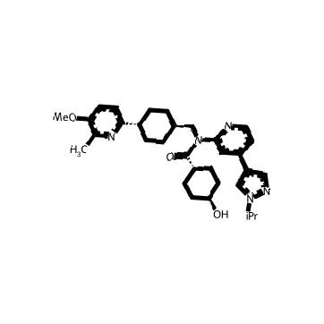 COc1ccc([C@H]2CC[C@H](CN(c3cc(-c4cnn(C(C)C)c4)ccn3)C(=O)[C@H]3CC[C@H](O)CC3)CC2)nc1C